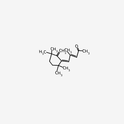 C=C1/C(=C\C(C)=C\C(C)=O)C(C)(C)CCC1(C)C